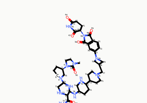 CN1CCN([C@@H]2CCCN(C3CNC(C(N)=O)C(NC4CCC(C5CCN(CC6CN(c7ccc8c(c7)C(=O)N([C@@H]7CCC(=O)NC7=O)C8=O)C6)CC5)NC4)N3)C2)C1=O